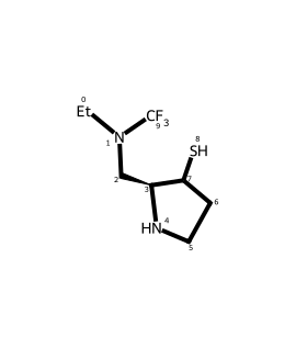 CCN(C[C@@H]1NCCC1S)C(F)(F)F